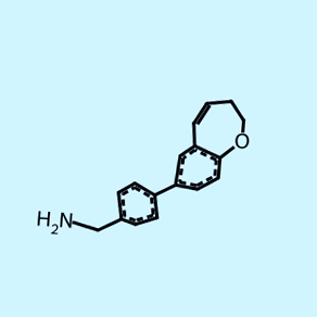 NCc1ccc(-c2ccc3c(c2)C=CCCO3)cc1